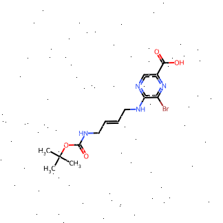 CC(C)(C)OC(=O)NCC=CCNc1ncc(C(=O)O)nc1Br